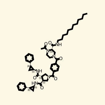 CCCCCCCCCCCCNC(=O)[C@@H]1CN(C(=O)c2ccc(C(=O)N3C[C@@H](C(=O)N[C@H]4C[C@@H]4c4ccccc4)[C@H](C(=O)N[C@H]4C[C@@H]4c4ccccc4)C3)cc2)CCN1C(C)=O